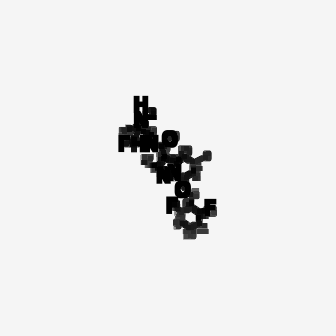 Cc1cc(OCc2c(F)cccc2F)n2nc(C)c(C(=O)NCC(C)(N)CF)c2c1